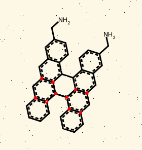 NCc1ccc2c(-c3c(P(c4ccccc4)c4ccccc4)ccc4cc(CN)ccc34)c(P(c3ccccc3)c3ccccc3)ccc2c1